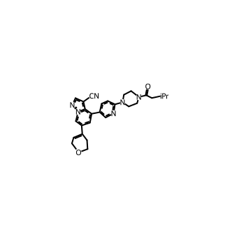 CC(C)CC(=O)N1CCN(c2ccc(-c3cc(C4=CCOCC4)cn4ncc(C#N)c34)cn2)CC1